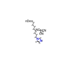 CCCCCCCCCCCCCCCCCCn1ccnc1.N#CC(C#N)C#N